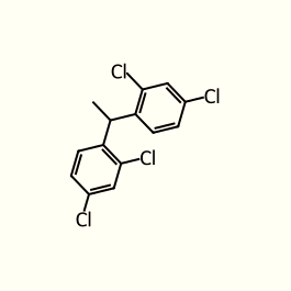 CC(c1ccc(Cl)cc1Cl)c1ccc(Cl)cc1Cl